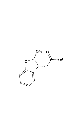 CC1Oc2ccccc2[C@H]1CC(=O)O